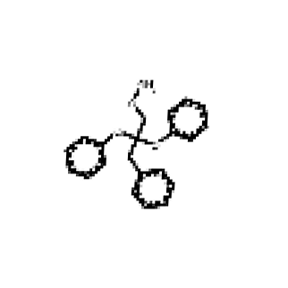 [SiH3]OCC(Cc1ccccc1)(Oc1ccccc1)Oc1ccccc1